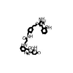 Nc1nnc(-c2ccccc2O)cc1OCCc1ccc(CNC(=O)CCNc2cccc3nnn(C4CCC(=O)NC4=O)c(=O)c23)cc1